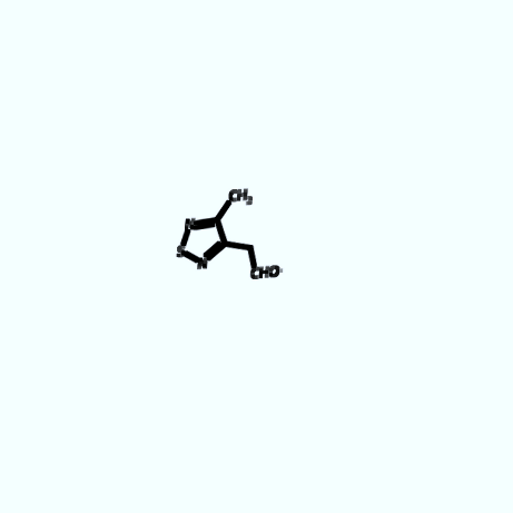 Cc1nsnc1C[C]=O